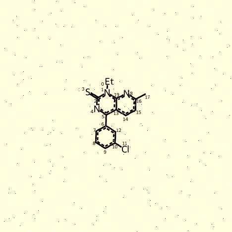 CCn1c(=S)nc(-c2cccc(Cl)c2)c2ccc(C)nc21